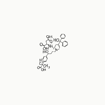 CC(C)(C(=O)O)c1ccc(C(O)CCCN2CCC(C(O)(c3ccccc3)c3ccccc3)CC2)cc1.NC(CC(=O)O)C(=O)O